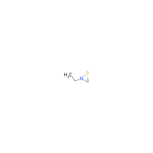 CCN1CS1